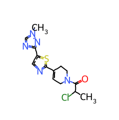 CC(Cl)C(=O)N1CC=C(c2ncc(-c3ncn(C)n3)s2)CC1